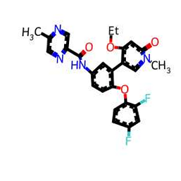 CCOc1cc(=O)n(C)cc1-c1cc(NC(=O)c2cnc(C)cn2)ccc1Oc1ccc(F)cc1F